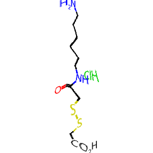 Cl.NCCCCCCNC(=O)CSSCC(=O)O